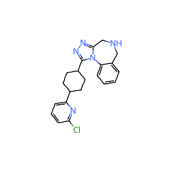 Clc1cccc(C2CCC(c3nnc4n3-c3ccccc3CNC4)CC2)n1